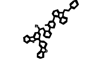 CCC(Cc1ccccc1-c1ccc(-c2cccc3c2-c2ccccc2C3CCc2ccccc2)cc1C)c1cc(-c2ccc3oc4ccccc4c3c2)c2sc3ccccc3c2c1